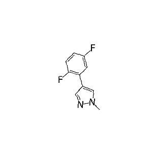 Cn1cc(-c2cc(F)ccc2F)cn1